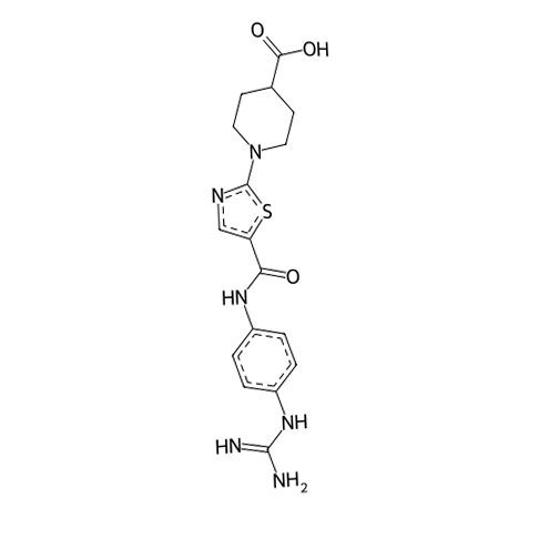 N=C(N)Nc1ccc(NC(=O)c2cnc(N3CCC(C(=O)O)CC3)s2)cc1